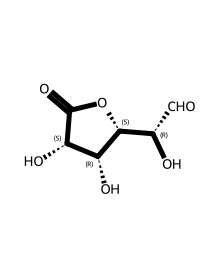 O=C[C@H](O)[C@H]1OC(=O)[C@@H](O)[C@H]1O